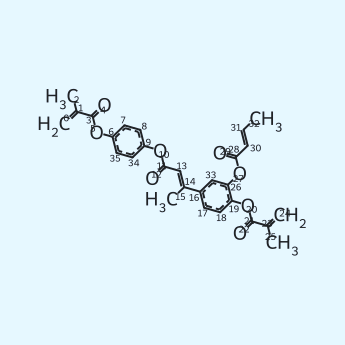 C=C(C)C(=O)Oc1ccc(OC(=O)/C=C(\C)c2ccc(OC(=O)C(=C)C)c(OC(=O)/C=C/C)c2)cc1